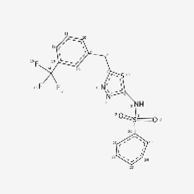 O=S(=O)(Nc1nnc(Cc2cccc(C(F)(F)F)c2)s1)c1ccccc1